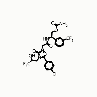 NC(=O)OCC(NC(=O)Cn1nc(-c2ccc(Cl)cc2)n(CC(O)C(F)(F)F)c1=O)c1cccc(C(F)(F)F)c1